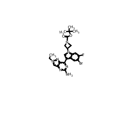 CCn1cc2nc(N)nc(-c3cn(C4CN(C(=O)OC(C)(C)C)C4)c4cc(F)c(Br)cc34)c2n1